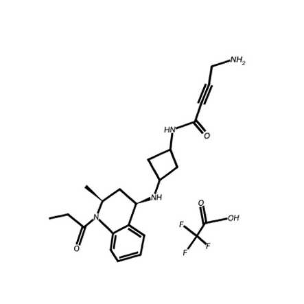 CCC(=O)N1c2ccccc2[C@H](NC2CC(NC(=O)C#CCN)C2)C[C@@H]1C.O=C(O)C(F)(F)F